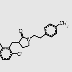 Cc1ccc(CCN2CCC(Cc3c(Cl)cccc3Cl)C2=O)cc1